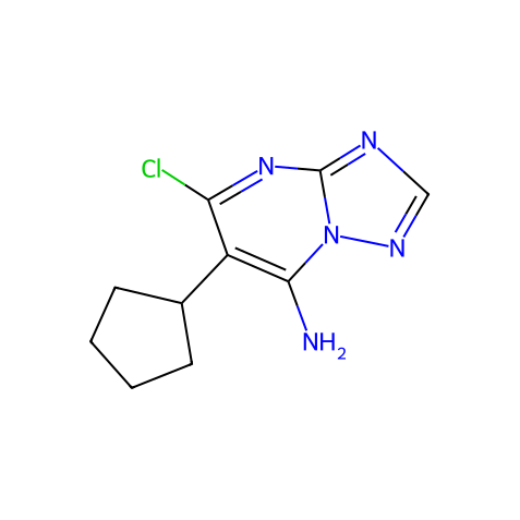 Nc1c(C2CCCC2)c(Cl)nc2ncnn12